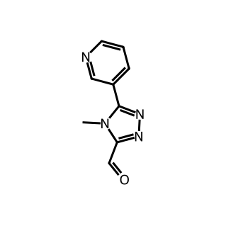 Cn1c(C=O)nnc1-c1cccnc1